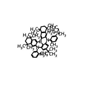 CC[Si](C)(C)c1ccc(C)c(N2c3cc4c(cc3B3c5cc6c(cc5N(c5ccccc5C)c5cc(C(C)(C)C)cc2c53)C(C)(C)CCC6(C)C)C(C)(C)CCC4(C)C)c1